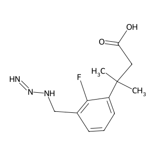 CC(C)(CC(=O)O)c1cccc(CNN=N)c1F